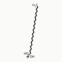 CCCCCCCCCCCCCCCCCCCCCCCCP(=O)(O)O